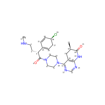 CC(C)NCC[C@@H](C(=O)N1CCN(c2ncnc3c2C[C@@H](C)C(=O)N3)CC1)C1=CC[C@H](Cl)C=C1